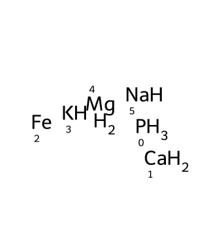 P.[CaH2].[Fe].[KH].[MgH2].[NaH]